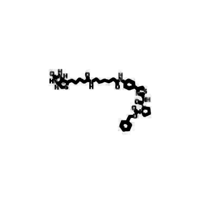 O=C(CCCCC1SC[C@@H]2NC(=O)N[C@H]12)NCCCCCC(=O)Nc1ccc(-c2csc(NC(=O)[C@@H]3CCCN3C(=O)OCc3ccccc3)n2)cc1